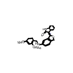 COc1ccc(CNc2ccc3c(c2)/C(=C2\C(=O)Nc4ccccc42)OC3)c(OC)c1